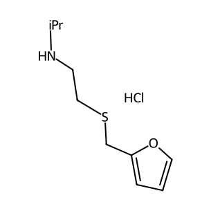 CC(C)NCCSCc1ccco1.Cl